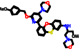 COCC(CN1CCOCC1)Nc1ccc2c(c1)Sc1cccc(-c3cc(N4CCOCC4)cc(OCc4ccc(OC)cc4)n3)c1O2